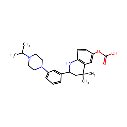 CC(C)N1CCN(c2cccc(C3CC(C)(C)c4cc(OC(=O)O)ccc4N3)c2)CC1